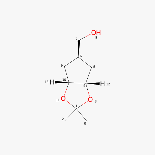 CC1(C)O[C@H]2C[C@H](CO)C[C@H]2O1